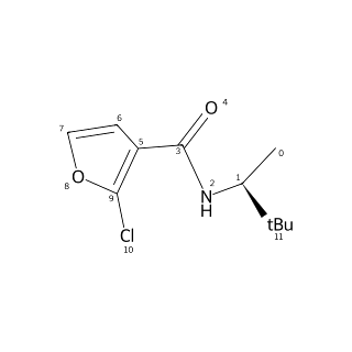 C[C@H](NC(=O)c1ccoc1Cl)C(C)(C)C